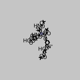 C[n+]1c2ccc(OC[C@H](O/N=C(\C(=O)N[C@@H]3C(=O)N(OS(=O)(=O)O)C3(C)C)c3csc(NC(=O)OC(C)(C)C)n3)C(=O)OC(C)(C)C)cc2cn1CC1(O)CN(C(=O)OC(C)(C)C)C1